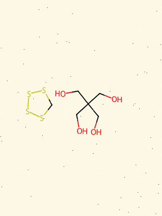 C1SSSS1.OCC(CO)(CO)CO